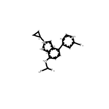 Fc1cc(-c2ccc(OC(F)F)c3nn(C4CC4)cc23)ccn1